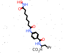 CC(C)C[C@H](NC(=O)c1ccc(NC(=O)CCCCCCC(=O)NO)cc1)C(=O)O